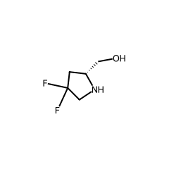 OC[C@H]1CC(F)(F)CN1